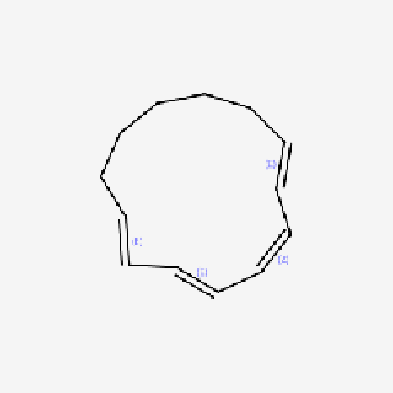 C1=C\C=C\CCCCC/C=C/C=C/1